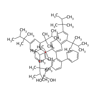 CC(C)C(C)(C)c1cc(C(C)(C)C(C)C)c2cc(-c3c(OP(O)O)ccc(-c4ccccc4)c3-c3cc4c(C(C)(C)C(C)C)cc(C(C)(C)C(C)C)cc4cc3C(C)(C)C(C)C)c(C(C)(C)C(C)C)cc2c1